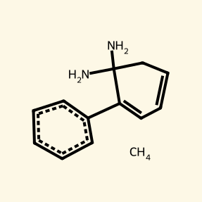 C.NC1(N)CC=CC=C1c1ccccc1